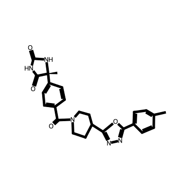 Cc1ccc(-c2nnc(C3CCN(C(=O)c4ccc([C@@]5(C)NC(=O)NC5=O)cc4)CC3)o2)cc1